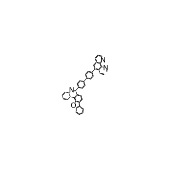 C=Cc1c(-c2ccc(-c3ccc(C4=NC5C=CC=CC5c5c4ccc4c5oc5ccccc54)cc3)cc2)cc2cccnc2c1N=C